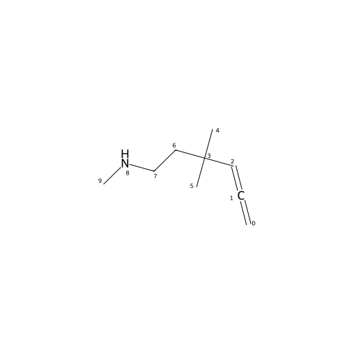 C=C=CC(C)(C)CCNC